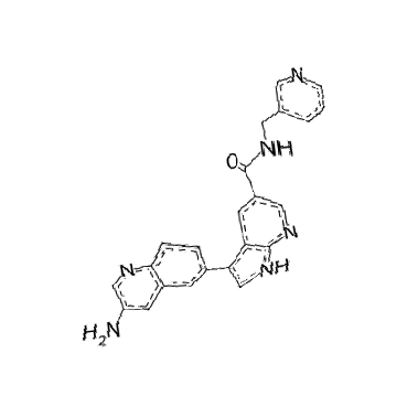 Nc1cnc2ccc(-c3c[nH]c4ncc(C(=O)NCc5cccnc5)cc34)cc2c1